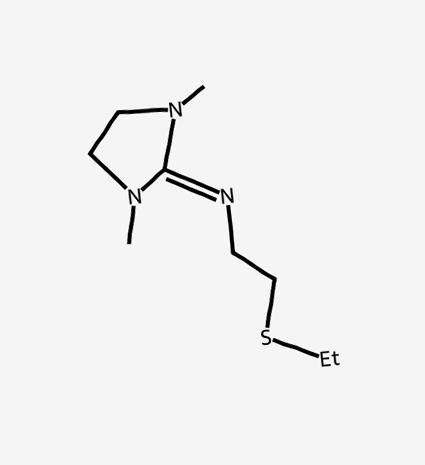 CCSCCN=C1N(C)CCN1C